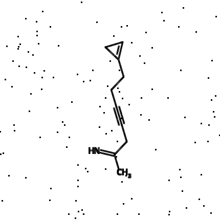 CC(=N)CC#CCCC1=CC1